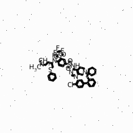 CN(C)CCC(CSc1ccccc1)Nc1ccc(S(=O)(=O)Nc2ncnc3c2CCN(C2(Cc4ccccc4-c4ccc(Cl)cc4)CCCCC2)C3)cc1S(=O)(=O)C(F)(F)F